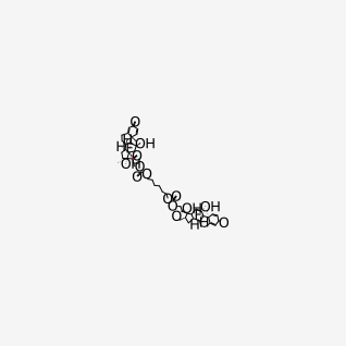 C[C@@H]1C[C@H]2[C@@H]3CCC4=CC(=O)C=C[C@]4(C)[C@@]3(F)[C@@H](O)C[C@]2(C)[C@@]1(O)C(=O)COC(=O)OCCCCCCOC(=O)OCC(=O)[C@@]1(O)[C@H](C)C[C@H]2[C@@H]3CCC4=CC(=O)C=C[C@]4(C)[C@@]3(F)[C@@H](O)C[C@@]21C